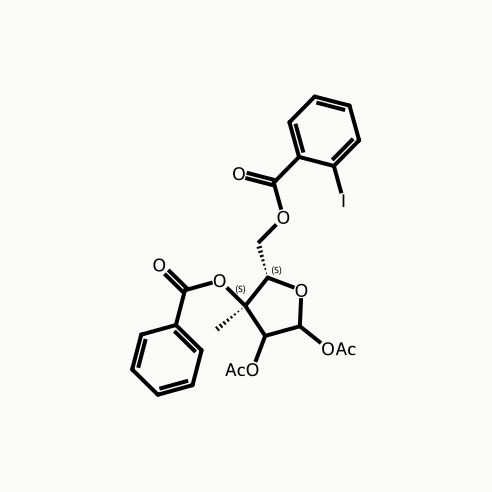 CC(=O)OC1O[C@@H](COC(=O)c2ccccc2I)[C@](C)(OC(=O)c2ccccc2)C1OC(C)=O